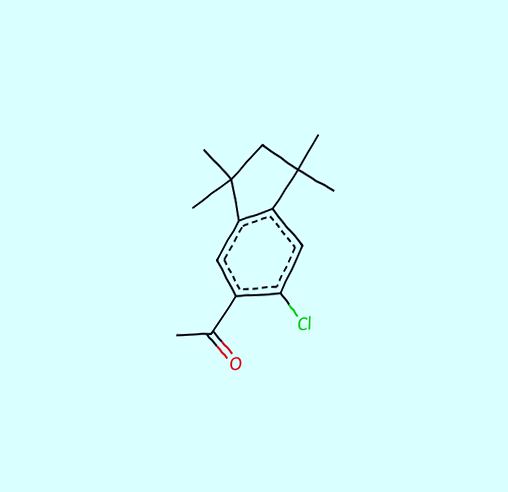 CC(=O)c1cc2c(cc1Cl)C(C)(C)CC2(C)C